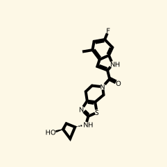 Cc1cc(F)cc2[nH]c(C(=O)N3CCc4nc(N[C@H]5C[C@H](O)C5)sc4C3)cc12